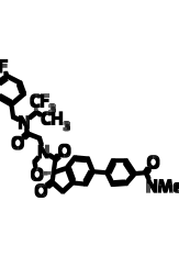 CNC(=O)c1ccc(-c2ccc3c(c2)CC(=O)[C@]32OCN(CC(=O)N(Cc3ccc(F)cc3)[C@@H](C)C(F)(F)F)C2=O)cc1